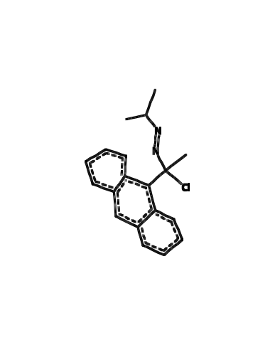 CC(C)N=NC(C)(Cl)c1c2ccccc2cc2ccccc12